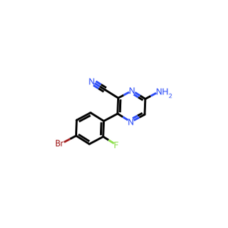 N#Cc1nc(N)cnc1-c1ccc(Br)cc1F